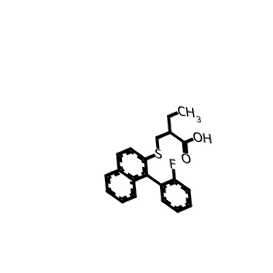 CCC(CSc1ccc2ccccc2c1-c1ccccc1F)C(=O)O